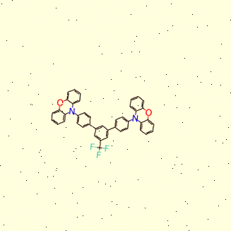 FC(F)(F)c1cc(-c2ccc(N3c4ccccc4Oc4ccccc43)cc2)cc(-c2ccc(N3c4ccccc4Oc4ccccc43)cc2)c1